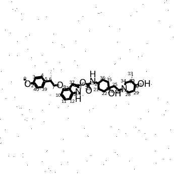 COc1ccc(CCOc2cccc3[nH]c(OC(=O)NC4CCC(O)(CCN5CC[C@H](O)[C@@H](C)C5)CC4)cc23)cc1